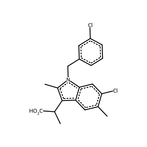 Cc1cc2c(C(C)C(=O)O)c(C)n(Cc3cccc(Cl)c3)c2cc1Cl